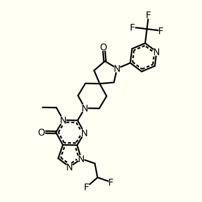 CCn1c(N2CCC3(CC2)CC(=O)N(c2ccnc(C(F)(F)F)c2)C3)nc2c(cnn2CC(F)F)c1=O